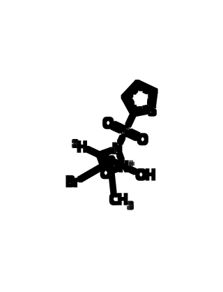 [3H]C12O[N+](O)(C(C)=C1Br)N2S(=O)(=O)c1cccs1